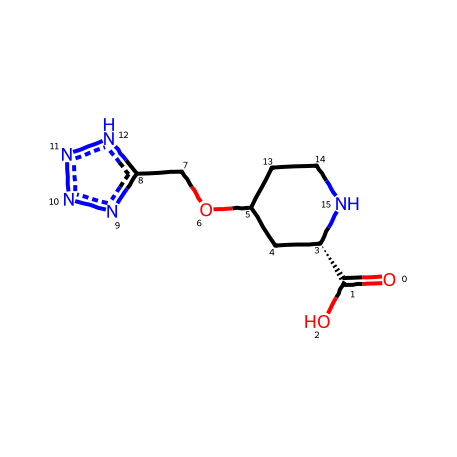 O=C(O)[C@@H]1CC(OCc2nnn[nH]2)CCN1